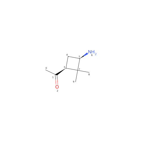 CC(=O)[C@H]1C[C@@H](N)C1(C)C